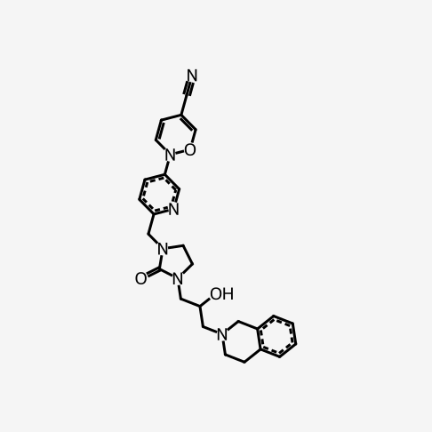 N#CC1=CON(c2ccc(CN3CCN(CC(O)CN4CCc5ccccc5C4)C3=O)nc2)C=C1